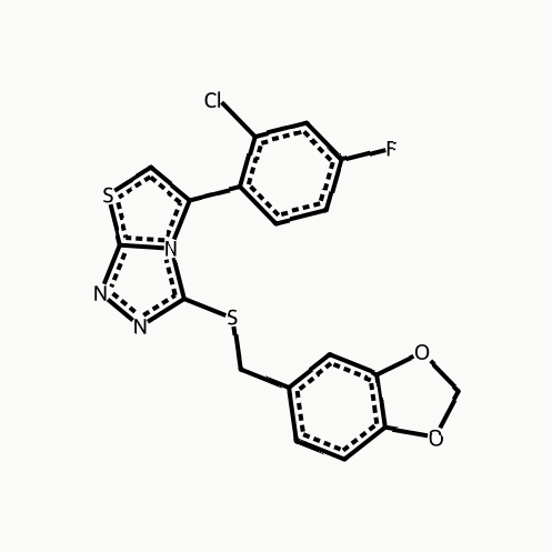 Fc1ccc(-c2csc3nnc(SCc4ccc5c(c4)OCO5)n23)c(Cl)c1